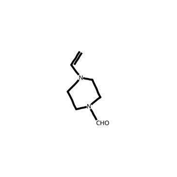 C=CN1CCN(C=O)CC1